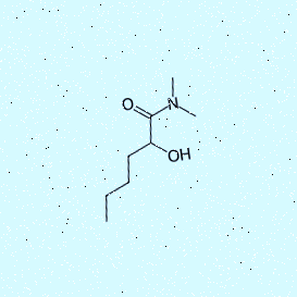 CCCCC(O)C(=O)N(C)C